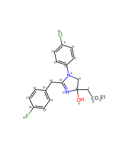 CCOC(=O)CC1(O)CN(c2ccc(Cl)cc2)C(Cc2ccc(F)cc2)=N1